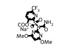 COc1cc(OC)nc(N(C(N)=O)S(=O)(=O)c2nc(C(F)(F)F)ccc2C(=O)[O-])n1.[Na+]